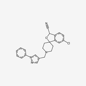 N#CC1OC2(CCN(Cc3cnn(-c4ccccc4)c3)CC2)c2cc(Cl)ccc21